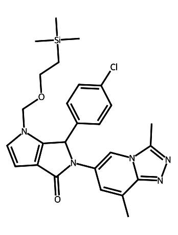 Cc1cc(N2C(=O)c3ccn(COCC[Si](C)(C)C)c3C2c2ccc(Cl)cc2)cn2c(C)nnc12